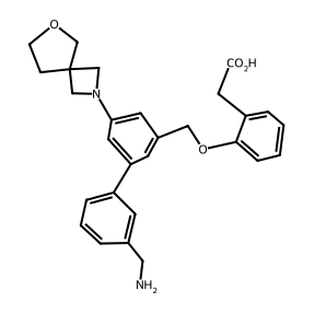 NCc1cccc(-c2cc(COc3ccccc3CC(=O)O)cc(N3CC4(CCOC4)C3)c2)c1